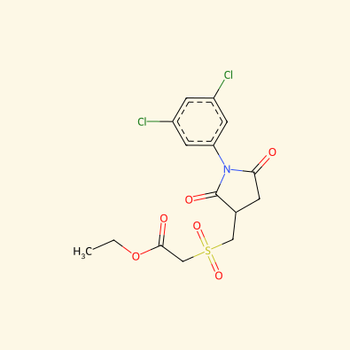 CCOC(=O)CS(=O)(=O)CC1CC(=O)N(c2cc(Cl)cc(Cl)c2)C1=O